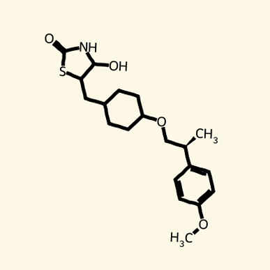 COc1ccc([C@H](C)COC2CCC(CC3SC(=O)NC3O)CC2)cc1